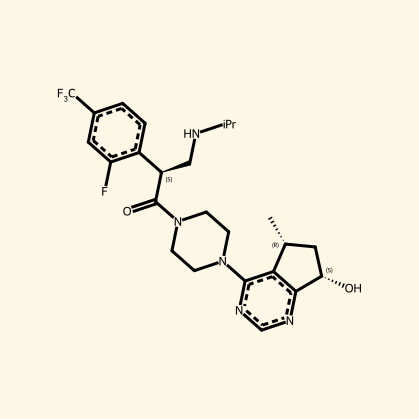 CC(C)NC[C@@H](C(=O)N1CCN(c2ncnc3c2[C@H](C)C[C@@H]3O)CC1)c1ccc(C(F)(F)F)cc1F